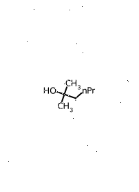 CCC[CH]C(C)(C)O